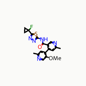 COc1cnc(C)cc1-c1cc(C)ncc1C(=O)Nc1nnc(C2(F)CC2)s1